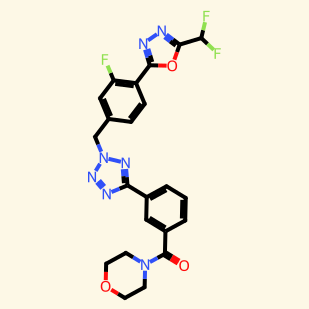 O=C(c1cccc(-c2nnn(Cc3ccc(-c4nnc(C(F)F)o4)c(F)c3)n2)c1)N1CCOCC1